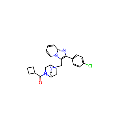 O=C(C1CCC1)N1CC2CCC1CN2Cc1c(-c2ccc(Cl)cc2)nc2ccccn12